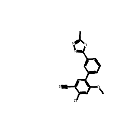 COc1cc(Cl)c(C#N)cc1-c1cccc(-c2nnc(C)o2)c1